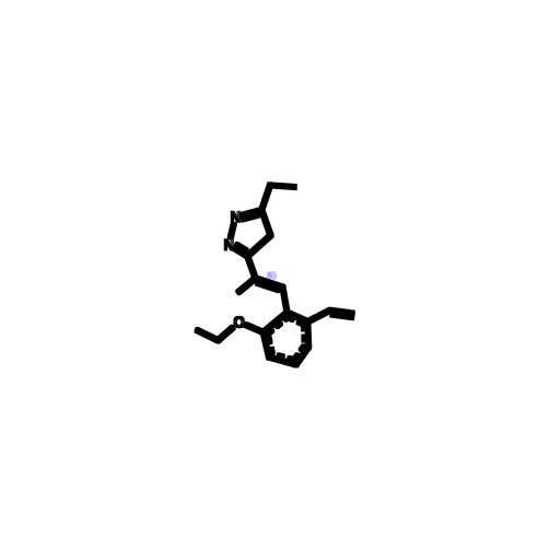 C=Cc1cccc(OCC)c1/C=C(\C)C1=NN=C(CC)C1